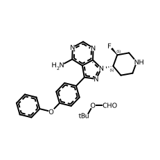 CC(C)(C)OC=O.Nc1ncnc2c1c(-c1ccc(Oc3ccccc3)cc1)nn2[C@H]1CCNC[C@@H]1F